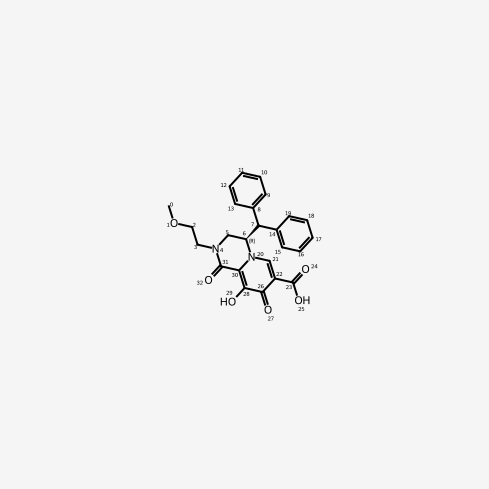 COCCN1C[C@@H](C(c2ccccc2)c2ccccc2)n2cc(C(=O)O)c(=O)c(O)c2C1=O